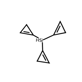 C1=C([SiH](C2=CC2)C2=CC2)C1